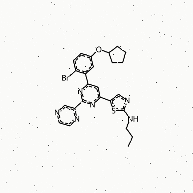 CCCNc1ncc(-c2cc(-c3cc(OC4CCCC4)ccc3Br)nc(-c3cnccn3)n2)s1